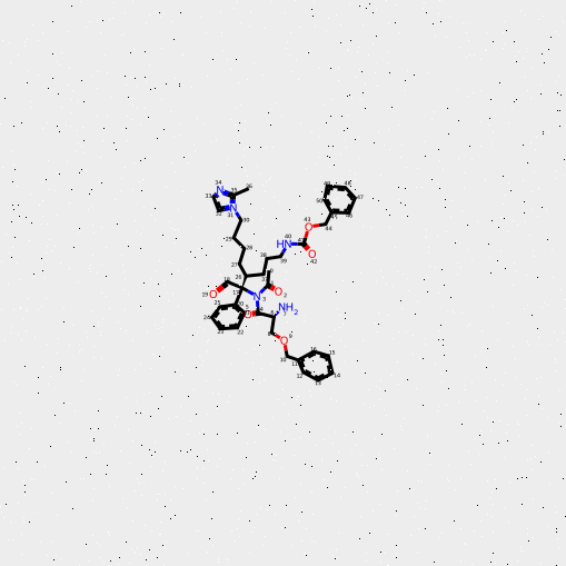 CC(=O)N(C(=O)[C@@H](N)COCc1ccccc1)[C@@]([C]=O)(c1ccccc1)C(CCCCn1ccnc1C)CCCNC(=O)OCc1ccccc1